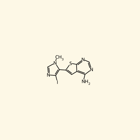 Cn1cnc(I)c1-c1cc2c(N)ncnc2s1